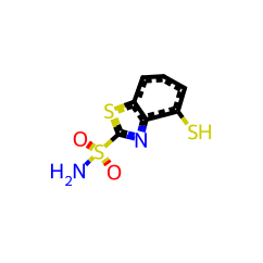 NS(=O)(=O)c1nc2c(S)cccc2s1